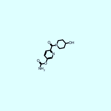 NC(=O)Oc1ccc(C(=O)N2CCC(O)CC2)nc1